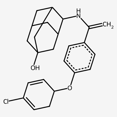 C=C(NC1C2CC3CC1CC(O)(C3)C2)c1ccc(OC2C=CC(Cl)=CC2)cc1